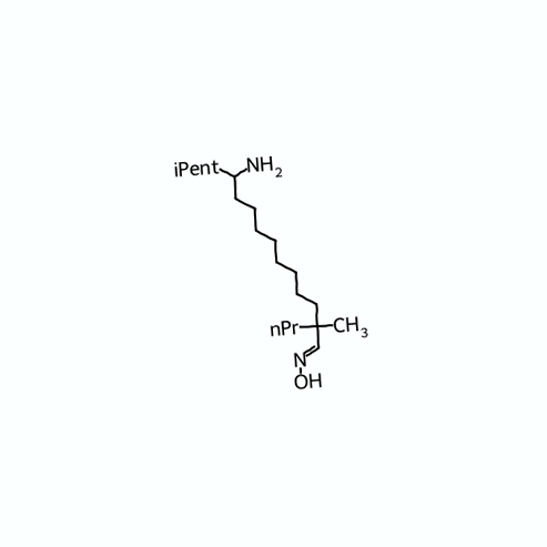 CCCC(C)C(N)CCCCCCCCC(C)(C=NO)CCC